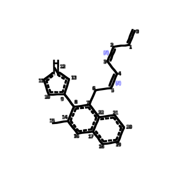 C=C/C=C\C=C/Cc1c(-c2cc[nH]c2)c(C)cc2ccccc12